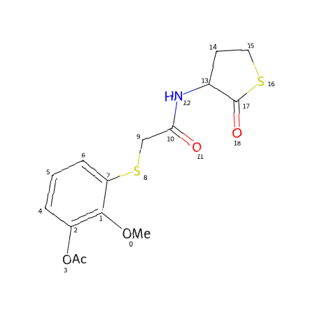 COc1c(OC(C)=O)cccc1SCC(=O)NC1CCSC1=O